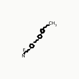 CCCCCc1ccc([C@H]2CC[C@H](CCCC[C@H]3CC[C@H](CCC=C(F)C#N)CC3)CC2)cc1